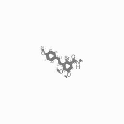 CNC(=O)c1cc(OC)c(OC)c(CCc2ccc(OC)cc2)c1Br